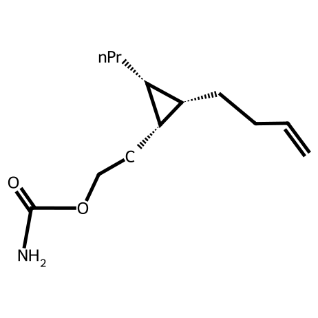 C=CCC[C@H]1[C@@H](CCC)[C@H]1CCOC(N)=O